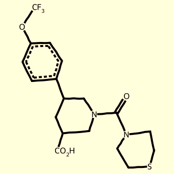 O=C(O)C1CC(c2ccc(OC(F)(F)F)cc2)CN(C(=O)N2CCSCC2)C1